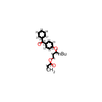 C=CC(=O)OCCC(CCCC)Oc1ccc(C(=O)c2ccccc2)cc1